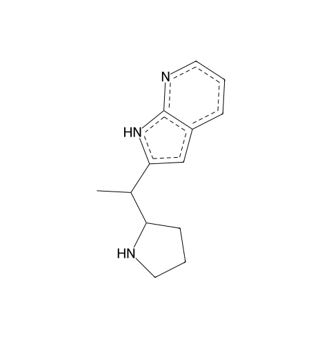 CC(c1cc2cccnc2[nH]1)C1CCCN1